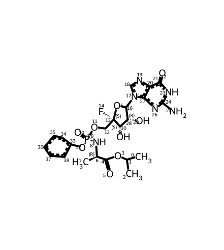 CC(C)OC(=O)[C@@H](C)N[P@](=O)(OC[C@@]1(F)OC(n2cnc3c(=O)[nH]c(N)nc32)[C@H](O)[C@@H]1O)Oc1ccccc1